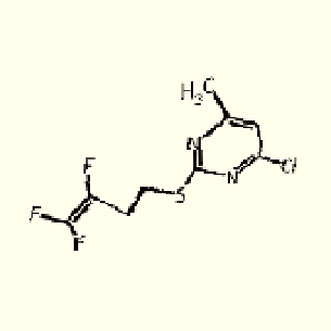 Cc1cc(Cl)nc(SCCC(F)=C(F)F)n1